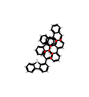 c1ccc(N(c2ccc(-c3cccc4c3oc3ccccc34)cc2)c2ccccc2-c2cccc3ccccc23)c(-c2ccccc2-n2c3ccccc3c3ccccc32)c1